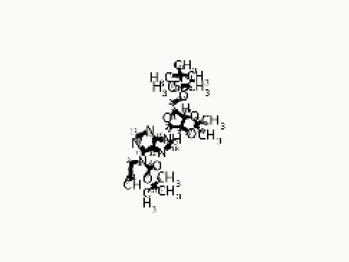 C#CCN(C(=O)OC(C)(C)C)c1ncnc2c1ncn2[C@@H]1O[C@H](CO[Si](C)(C)C(C)(C)C)[C@H]2OC(C)(C)O[C@H]21